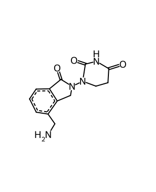 NCc1cccc2c1CN(N1CCC(=O)NC1=O)C2=O